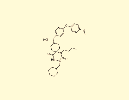 CCCCN1C(=O)[C@H](CC2CCCCC2)NC(=O)C12CCN(Cc1ccc(Oc3ccc(SC)cc3)cc1)CC2.Cl